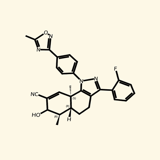 Cc1nc(-c2ccc(-n3nc(-c4ccccc4F)c4c3[C@]3(C)C=C(C#N)C(O)[C@H](C)[C@H]3CC4)cc2)no1